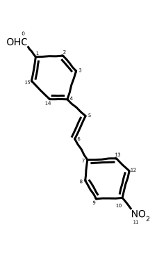 O=Cc1ccc(C=Cc2ccc([N+](=O)[O-])cc2)cc1